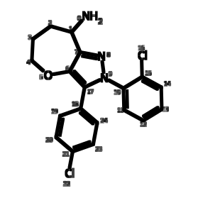 NC1CCCOc2c1nn(-c1ccccc1Cl)c2-c1ccc(Cl)cc1